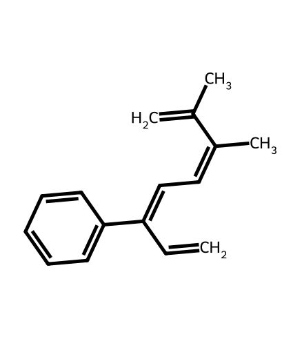 C=CC(=CC=C(C)C(=C)C)c1ccccc1